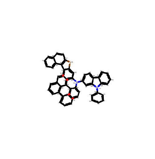 c1ccc(-c2cccc3cccc(-c4ccccc4N(c4ccc5c(c4)sc4ccc6ccccc6c45)c4ccc5c6ccccc6n(-c6ccccc6)c5c4)c23)cc1